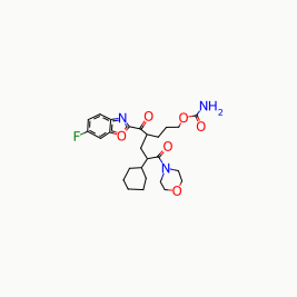 NC(=O)OCCCC(CC(C(=O)N1CCOCC1)C1CCCCC1)C(=O)c1nc2ccc(F)cc2o1